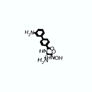 NC[C@H](NC(=O)c1ccc(-c2cccc(N)c2)cc1)C(=O)NO